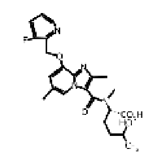 Cc1cc(OCc2ncccc2F)c2nc(C)c(C(=O)N(C)[C@@H](CCC(O)C(F)(F)F)C(=O)O)n2c1